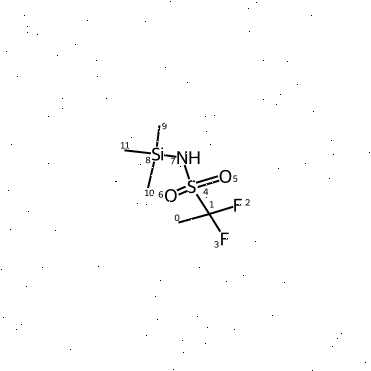 CC(F)(F)S(=O)(=O)N[Si](C)(C)C